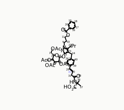 CC(=O)OC[C@H]1O[C@@H](Oc2nn(CCCOC(=O)c3ccccc3)c(C(C)C)c2Cc2ccc(/C=C/CC(=O)NC(C)(C)C(=O)O)cc2)[C@H](OC(C)=O)[C@@H](OC(C)=O)[C@H]1OC(C)=O